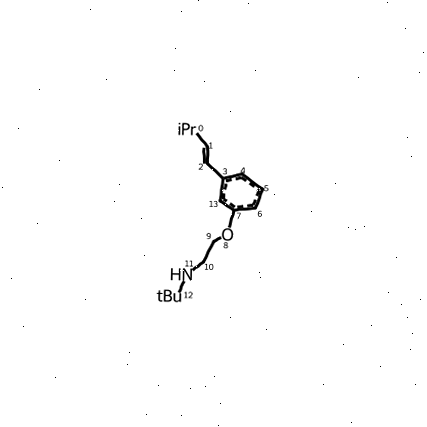 CC(C)/C=C/c1cccc(OCCNC(C)(C)C)c1